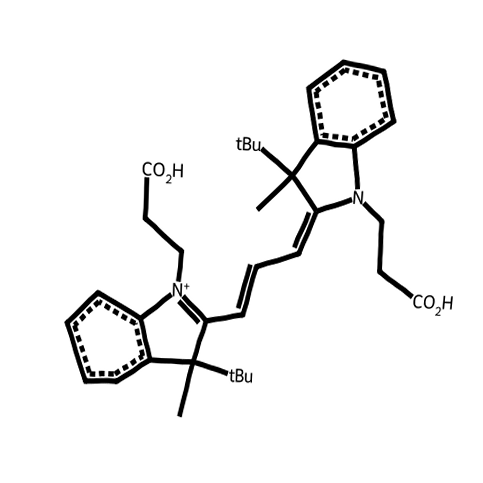 CC(C)(C)C1(C)C(/C=C/C=C2/N(CCC(=O)O)c3ccccc3C2(C)C(C)(C)C)=[N+](CCC(=O)O)c2ccccc21